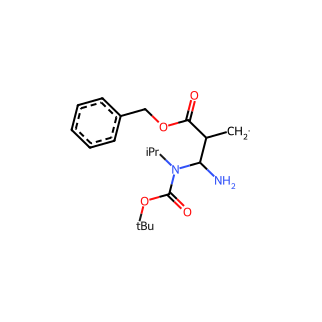 [CH2]C(C(=O)OCc1ccccc1)C(N)N(C(=O)OC(C)(C)C)C(C)C